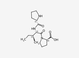 CC[C@H](C)[C@H](NC(=O)[C@@H]1CCCN1)C(=O)N1CCC[C@@H]1C(=O)O